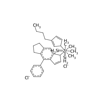 CCCCC1=C[CH]([Zr]([CH3])([CH3])([CH3])([CH3])(=[SiH2])(=[SiH2])[CH]2C=Cc3c2cc2c(c3-c3ccccc3)CCC2)C=C1.[Cl-].[Cl-]